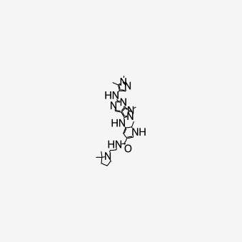 Cc1c(Nc2ncc3c(NC4=CC(C(=O)NCCN5CCCC5(C)C)=CNC4C)nn(C)c3n2)cnn1C